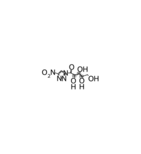 O=C([C@H](O)[C@H](O)[C@H](O)CO)n1cc([N+](=O)[O-])nn1